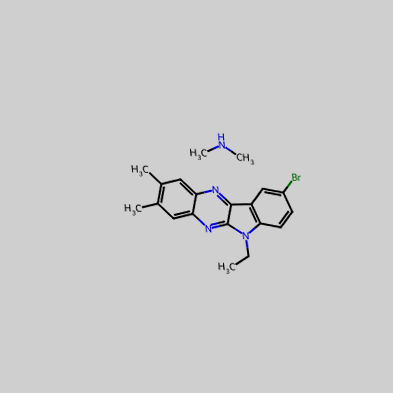 CCn1c2ccc(Br)cc2c2nc3cc(C)c(C)cc3nc21.CNC